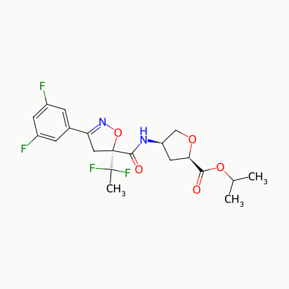 CC(C)OC(=O)[C@H]1C[C@@H](NC(=O)[C@@]2(C(C)(F)F)CC(c3cc(F)cc(F)c3)=NO2)CO1